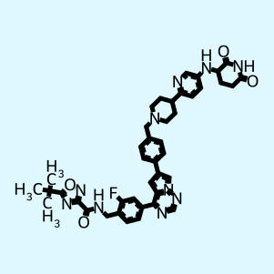 CC(C)(C)c1nc(C(=O)NCc2ccc(-c3ncnn4cc(-c5ccc(CN6CCC(c7ccc(NC8CCC(=O)NC8=O)cn7)CC6)cc5)cc34)cc2F)no1